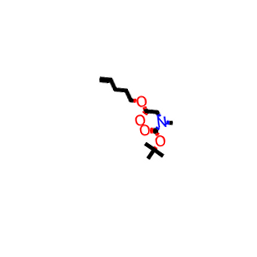 C=CCCCOC(=O)CN(C)C(=O)OC(C)(C)C